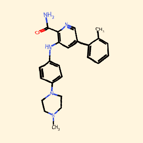 Cc1ccccc1-c1cnc(C(N)=O)c(Nc2ccc(N3CCN(C)CC3)cc2)c1